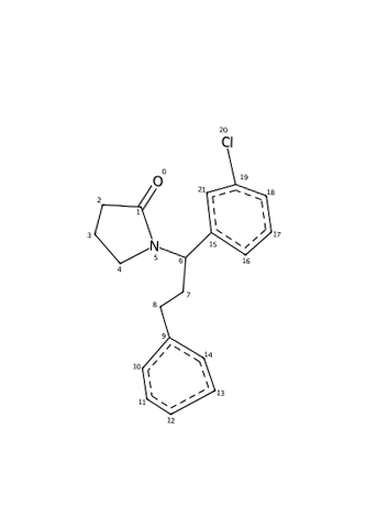 O=C1CCCN1C(CCc1ccccc1)c1cccc(Cl)c1